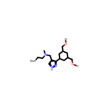 CCOCC1CC(COCC)CC(c2n[nH]cc2CN(C)CCNC)C1